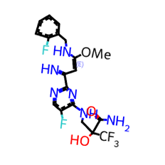 CO/C(=C/C(=N)c1ncc(F)c(NCC(O)(C(N)=O)C(F)(F)F)n1)NCc1ccccc1F